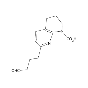 O=CCCCc1ccc2c(n1)N(C(=O)O)CCC2